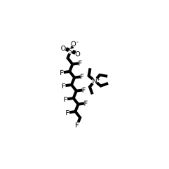 CC[N+](CC)(CC)CC.O=S(=O)([O-])CC(F)C(F)C(F)C(F)C(F)C(F)C(F)C(F)CF